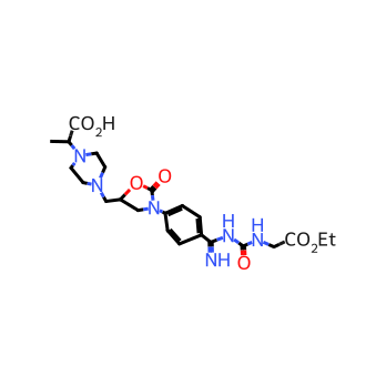 CCOC(=O)CNC(=O)NC(=N)c1ccc(N2CC(CN3CCN(C(C)C(=O)O)CC3)OC2=O)cc1